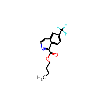 CCCCOC(=O)c1nccc2cc(C(F)(F)F)ccc12